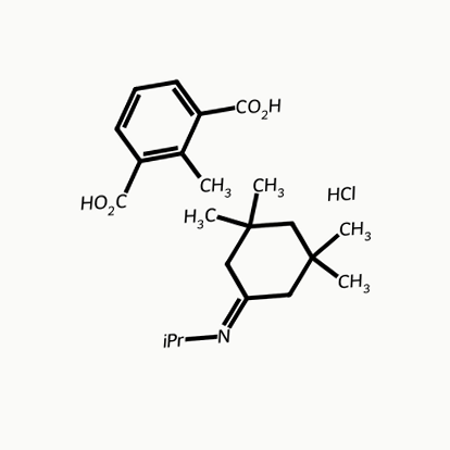 CC(C)N=C1CC(C)(C)CC(C)(C)C1.Cc1c(C(=O)O)cccc1C(=O)O.Cl